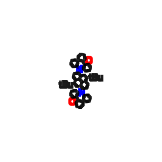 CC(C)(C)c1cc2c(N(c3ccccc3)c3cccc4oc5ccccc5c34)ccc3c(C(C)(C)C)cc4c(N(c5ccccc5)c5cccc6oc7ccccc7c56)ccc1c4c23